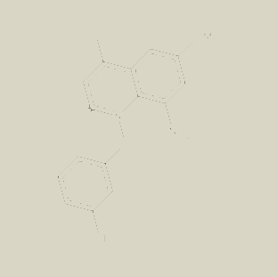 COc1cc([N+](=O)[O-])c2c(c1)c(C)cc(=O)n2Oc1cccc(C(F)(F)F)c1